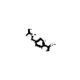 C=C(O)c1ccc(CNC(C)C)cc1